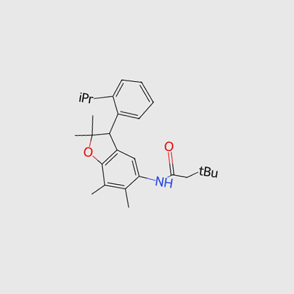 Cc1c(NC(=O)CC(C)(C)C)cc2c(c1C)OC(C)(C)C2c1ccccc1C(C)C